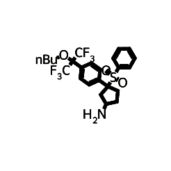 CCCCOC(c1ccc(C2(S(=O)(=O)c3ccccc3)CCC(N)C2)cc1)(C(F)(F)F)C(F)(F)F